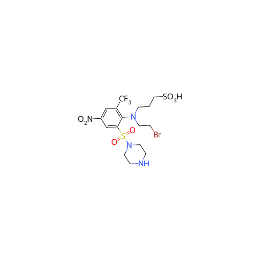 O=[N+]([O-])c1cc(C(F)(F)F)c(N(CCBr)CCCS(=O)(=O)O)c(S(=O)(=O)N2CCNCC2)c1